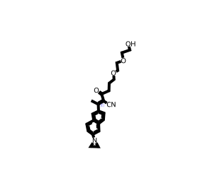 C/C(=C(/C#N)C(=O)CCCOCCOCCO)c1ccc2cc(N3CC3)ccc2c1